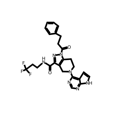 O=C(NCCC(F)(F)F)c1nn(C(=O)CCc2ccccc2)c2c1CN(c1ncnc3[nH]ccc13)CC2